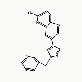 Clc1ccc2ncc(-c3cnn(Cc4cncnc4)c3)cc2n1